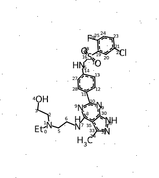 CCN(CCO)CCNc1nc(-c2ccc(NS(=O)(=O)c3cc(Cl)ccc3F)cc2)nc2[nH]nc(C)c12